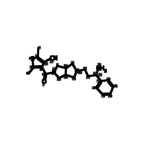 Cc1sc(C)c(C(=O)N2CC3CN(CC[C@H](N)c4ccccc4)CC3C2)c1C#N